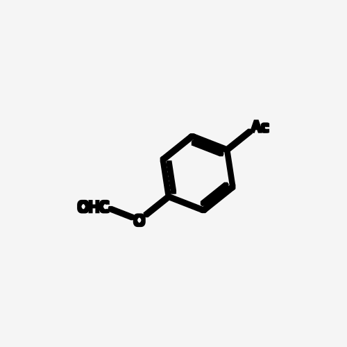 CC(=O)c1ccc(OC=O)cc1